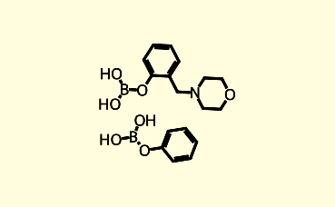 OB(O)Oc1ccccc1.OB(O)Oc1ccccc1CN1CCOCC1